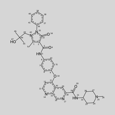 Cc1c(C(=O)Nc2ccc(Oc3ccnc4cnc(C(=O)NC5CCN(C)CC5)cc34)cc2)c(=O)n(-c2ccccc2)n1CC(C)(C)O